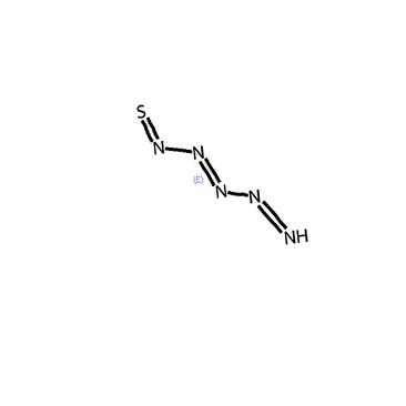 N=N/N=N/N=S